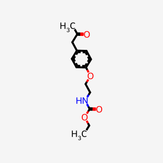 CCOC(=O)NCCOc1ccc(CC(C)=O)cc1